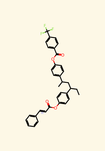 CCC(CC(C)c1ccc(OC(=O)c2ccc(C(F)(F)F)cc2)cc1)c1ccc(OC(=O)/C=C/c2ccccc2)cc1